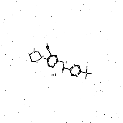 Cl.N#Cc1cc(NC(=O)c2cnc(C(F)(F)F)cn2)ccc1[C@@H]1CNCCO1